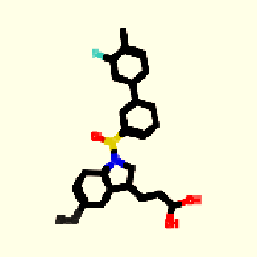 COC1=CCC2C(C1)C(CCC(O)O)CN2[S+]([O-])C1=CCCC(C2CC=C(C)C(F)C2)C1